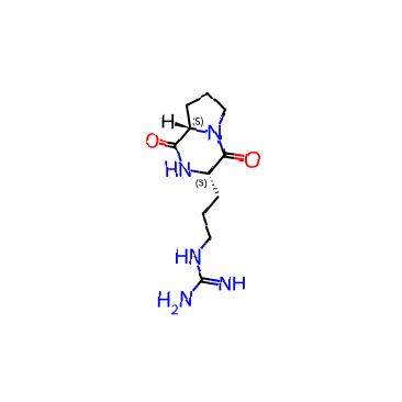 N=C(N)NCCC[C@@H]1NC(=O)[C@@H]2CCCN2C1=O